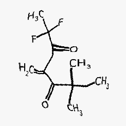 C=C(C(=O)C(C)(C)C)C(=O)C(C)(F)F